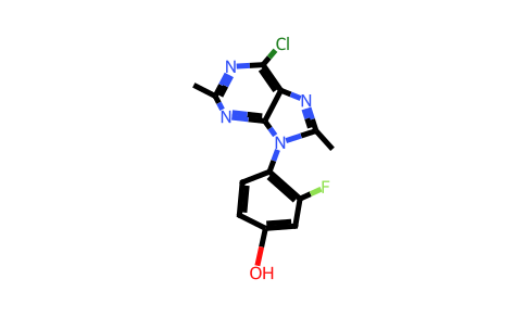 Cc1nc(Cl)c2nc(C)n(-c3ccc(O)cc3F)c2n1